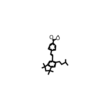 COC(=O)c1ccc(/C=C/c2cc3c(cc2CCC(C)C)C(C)(C)CC3(C)C)cc1